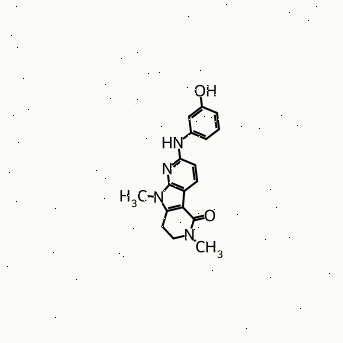 CN1CCc2c(c3ccc(Nc4cccc(O)c4)nc3n2C)C1=O